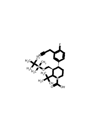 CC(C)(C)C1[C@@H](CO[Si](C)(C)C(C)(C)C)[C@H](c2ccc(F)c(CC#N)c2)CCN1C(=O)O